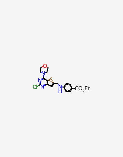 CCOC(=O)c1ccc(NCc2cc3nc(Cl)nc(N4CCOCC4)c3s2)cc1